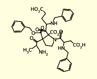 CC(N)C(=O)C1(C(=O)OCc2ccccc2)CCN(C(=O)C(CC(=O)O)NCc2ccccc2)C1(C(=O)O)C(=O)C(CCC(=O)O)NCc1ccccc1